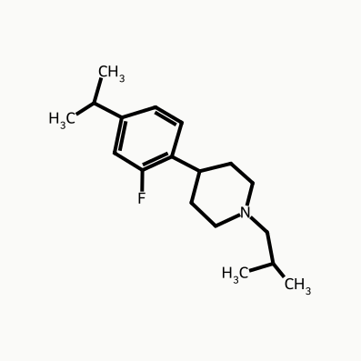 CC(C)CN1CCC(c2ccc(C(C)C)cc2F)CC1